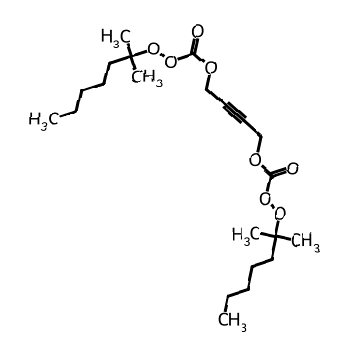 CCCCCC(C)(C)OOC(=O)OCC#CCOC(=O)OOC(C)(C)CCCCC